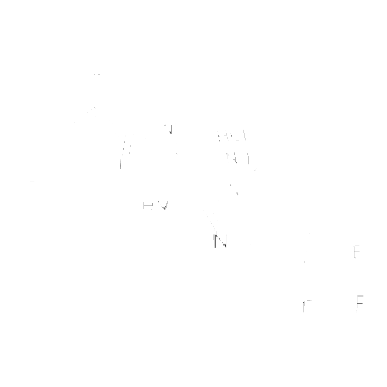 Cl.Nn1c(Nc2c[nH]c3c(F)cc(F)cc23)nc2cc(C(F)(F)F)ccc21